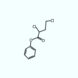 O=C(Oc1ccccc1)C(Cl)CCCl